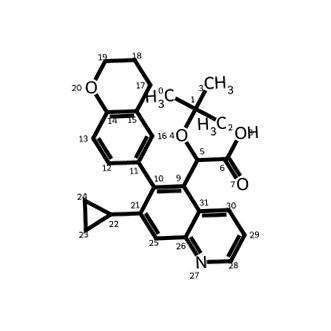 CC(C)(C)OC(C(=O)O)c1c(-c2ccc3c(c2)CCCO3)c(C2CC2)cc2ncccc12